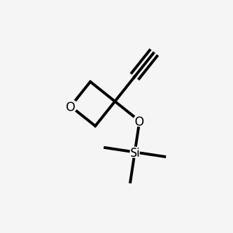 C#CC1(O[Si](C)(C)C)COC1